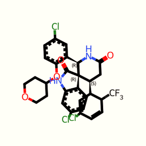 O=C1C[C@@H](C2C=C(Cl)C=CC2C(F)(F)F)[C@]2(C(=O)Nc3cc(Cl)ccc32)[C@@H](c2cc(Cl)ccc2OC2CCOCC2)N1